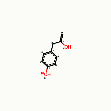 C=C(O)Cc1ccc([18OH])cc1